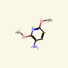 CCCCOc1ccc(N)c(OCCCC)n1